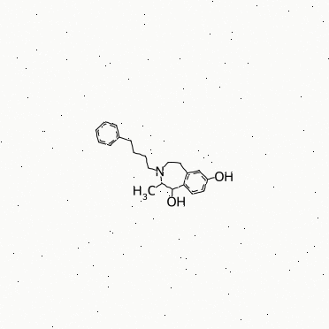 CC1C(O)c2ccc(O)cc2CCN1CCCCc1ccccc1